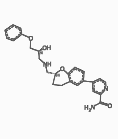 NC(=O)c1cc(-c2ccc3c(c2)CC[C@H](CNC[C@H](O)COc2ccccc2)O3)ccn1